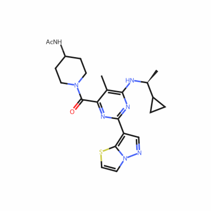 CC(=O)NC1CCN(C(=O)c2nc(-c3cnn4ccsc34)nc(N[C@@H](C)C3CC3)c2C)CC1